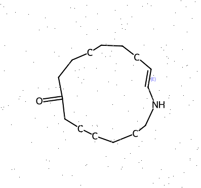 O=C1CCCCCC/C=C/NCCCCCC1